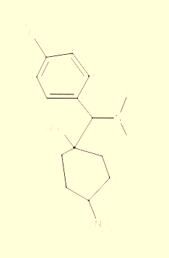 CN(C)C(c1ccc(F)cc1)C1(C)CCC(N)CC1